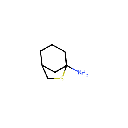 NC12CCCC(CS1)C2